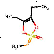 CCC1=C(C)OS(=O)(=PC)O1